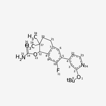 CC(C)(C)Oc1cc(-c2cc3c(cc2F)C(OC(N)=O)C(C)(C)CC3)ccn1